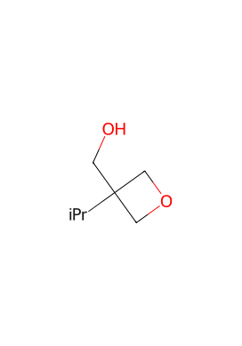 CC(C)C1(CO)COC1